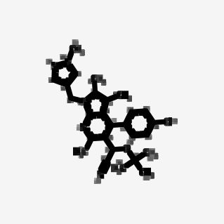 Cc1nc2c(c(C)c(C)n2Cc2cnn(C)c2)c(-c2ccc(Cl)cc2)c1C(C#N)OC(C)(C)C